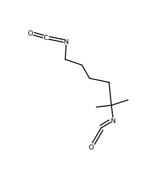 CC(C)(CCCCN=C=O)N=C=O